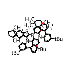 CC(C)(C)c1ccc(N2c3cc4c(cc3B3c5sc6cc7c(cc6c5N(c5ccc(C(C)(C)C)cc5-c5ccccc5)c5cc(C(C)(C)C)cc2c53)C2(C)CCC7(C)C2)C(C)(C)CCC4(C)C)c(-c2ccccc2)c1